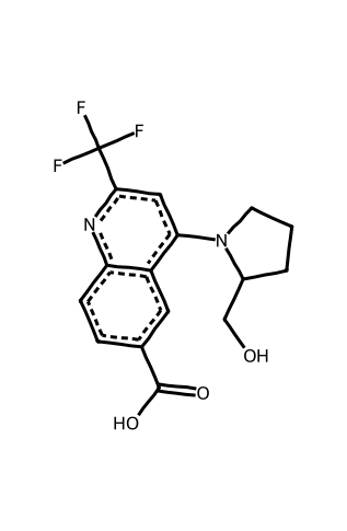 O=C(O)c1ccc2nc(C(F)(F)F)cc(N3CCCC3CO)c2c1